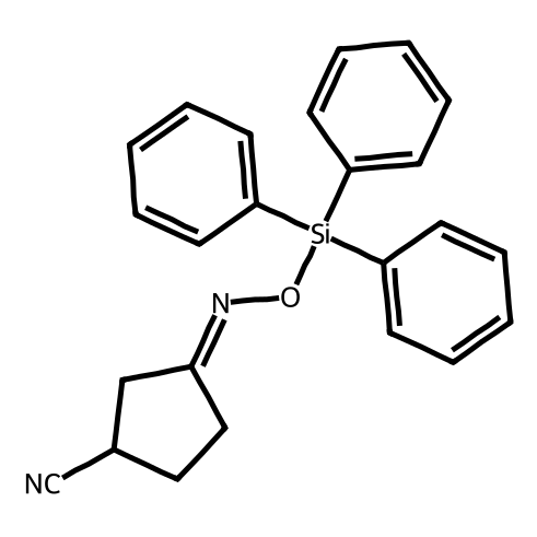 N#CC1CCC(=NO[Si](c2ccccc2)(c2ccccc2)c2ccccc2)C1